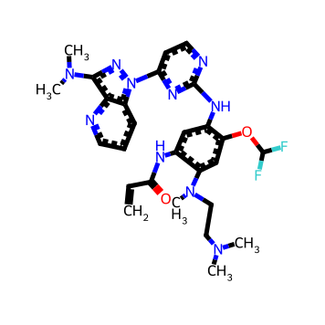 C=CC(=O)Nc1cc(Nc2nccc(-n3nc(N(C)C)c4ncccc43)n2)c(OC(F)F)cc1N(C)CCN(C)C